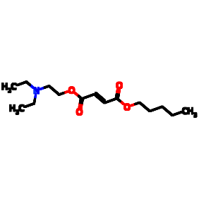 CCCCCOC(=O)C=CC(=O)OCCN(CC)CC